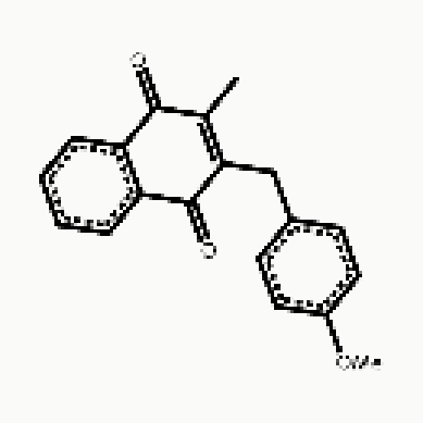 COc1ccc(CC2=C(C)C(=O)c3ccccc3C2=O)cc1